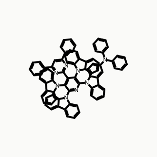 c1ccc(-c2cc(-c3ccccc3)nc(-c3c(-n4c5ccccc5c5ccccc54)c(-n4c5ccccc5c5ccccc54)nc(-n4c5ccccc5c5cc(N(c6ccccc6)c6ccccc6)ccc54)c3-n3c4ccccc4c4ccccc43)n2)cc1